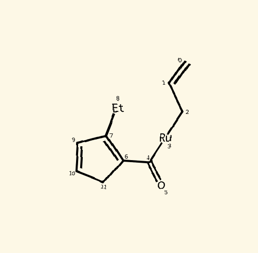 C=C[CH2][Ru][C](=O)C1=C(CC)C=CC1